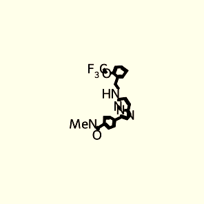 CNC(=O)c1ccc(-c2cnc3ccc(NCCc4ccccc4OC(F)(F)F)nn23)cc1